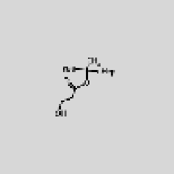 CCCCCCCC(C)(CCCC)OC(=O)CCO